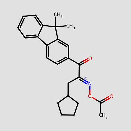 CC(=O)O/N=C(\CC1CCCC1)C(=O)c1ccc2c(c1)C(C)(C)c1ccccc1-2